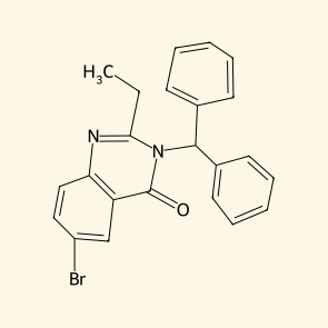 CCc1nc2ccc(Br)cc2c(=O)n1C(c1ccccc1)c1ccccc1